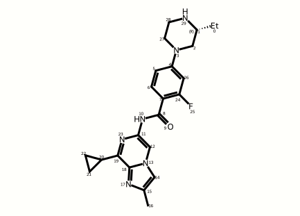 CC[C@@H]1CN(c2ccc(C(=O)Nc3cn4cc(C)nc4c(C4CC4)n3)c(F)c2)CCN1